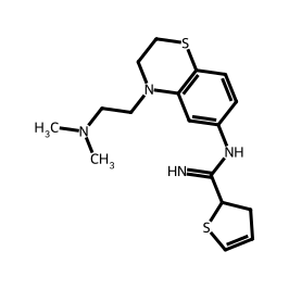 CN(C)CCN1CCSc2ccc(NC(=N)C3CC=CS3)cc21